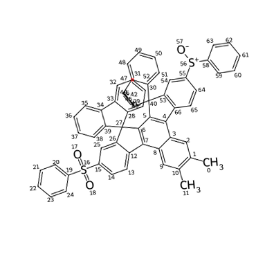 Cc1cc2c3c(c4c(c2cc1C)-c1ccc(S(=O)(=O)c2ccccc2)cc1C41c2ccccc2-c2ccccc21)C1(c2ccccc2-c2ccccc21)c1cc([S+]([O-])c2ccccc2)ccc1-3